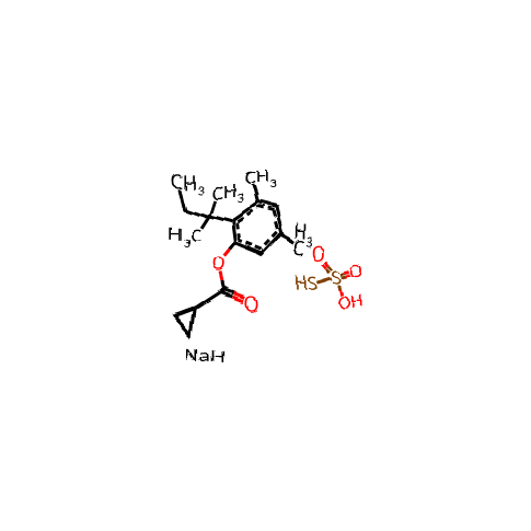 CCC(C)(C)c1c(C)cc(C)cc1OC(=O)C1CC1.O=S(=O)(O)S.[NaH]